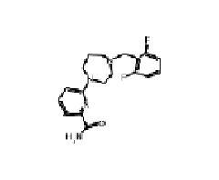 NC(=O)c1[c]ccc(N2CCCN(Cc3c(F)cccc3F)CC2)n1